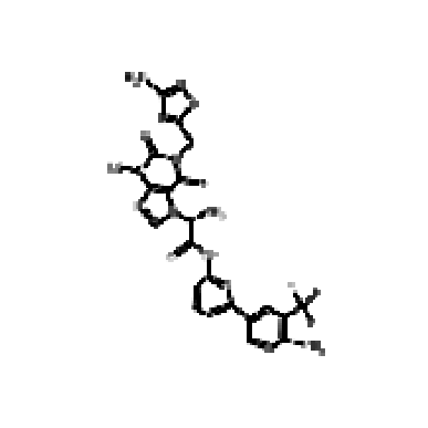 Cc1noc(Cn2c(=O)c3c(ncn3[C@@H](C)C(=O)Nc3cccc(-c4cnc(C)c(C(F)(F)F)c4)n3)n(C)c2=O)n1